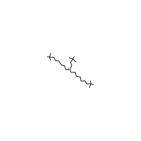 CC(C)(C)CCCCCCCN(CCCCCCC(C)(C)C)CCC(C)(C)C